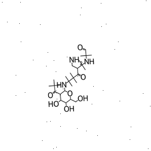 CC(C)(C=O)NC(C)(C)C(CN)C(=O)C(C)(C)C(C)(C)NC1OC(CO)C(O)C(O)C1C(=O)C(C)(C)C